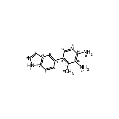 Cc1c(-c2ccc3[nH]ncc3c2)cnc(N)c1N